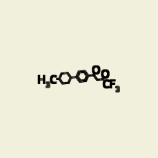 CC1CCC(c2ccc(C(=O)CC(=O)C(F)(F)F)cc2)CC1